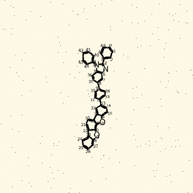 c1ccc(-c2nc3cc(-c4ccc(-c5ccc6oc7c(ccc8c9ccccc9oc87)c6c5)cc4)ccc3n2-c2ccccc2)cc1